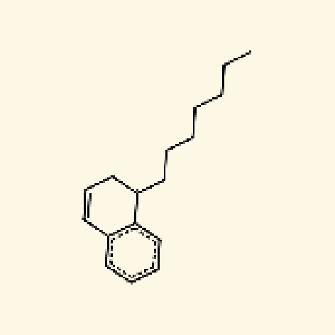 CCCCCCC[C]1CC=Cc2ccccc21